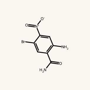 NC(=O)c1cc(Br)c([N+](=O)[O-])cc1N